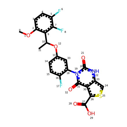 COc1ccc(F)c(F)c1C(C)Oc1ccc(F)c(-n2c(=O)[nH]c3csc(C(=O)O)c3c2=O)c1